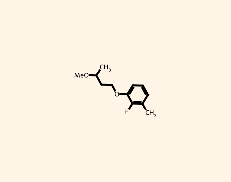 COC(C)CCOc1cc[c]c(C)c1F